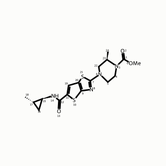 COC(=O)N1CCN(c2nc3sc(C(=O)N[C@H]4C[C@@H]4C)cc3s2)C[C@H]1C